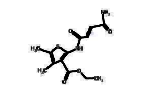 CCOC(=O)c1c(NC(=O)/C=C/C(N)=O)sc(C)c1C